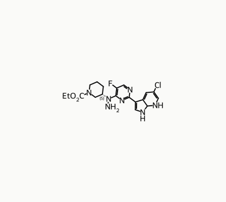 CCOC(=O)N1CCC[C@H](N(N)c2nc(C3=CNC4NC=C(Cl)C=C34)ncc2F)C1